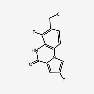 O=c1[nH]c2c(F)c(CCl)ccc2n2cc(F)cc12